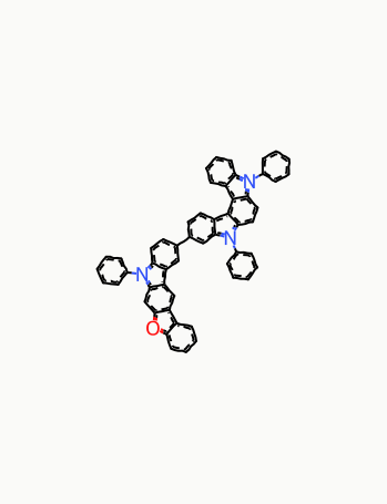 c1ccc(-n2c3ccc(-c4ccc5c6c7c8ccccc8n(-c8ccccc8)c7ccc6n(-c6ccccc6)c5c4)cc3c3cc4c(cc32)oc2ccccc24)cc1